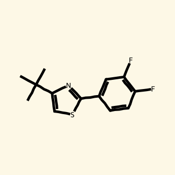 CC(C)(C)c1csc(-c2ccc(F)c(F)c2)n1